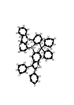 c1ccc(-c2oc3cc4c(cc3c2-c2ccccc2)B2c3c(cccc3C4(c3ccccc3)c3ccccc3)-n3c4ccccc4c4cccc2c43)cc1